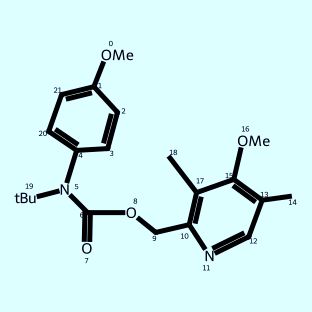 COc1ccc(N(C(=O)OCc2ncc(C)c(OC)c2C)C(C)(C)C)cc1